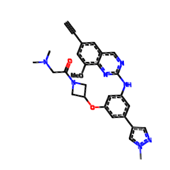 C#Cc1cc(OC)c2nc(Nc3cc(OC4CN(C(=O)CN(C)C)C4)cc(-c4cnn(C)c4)c3)ncc2c1